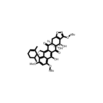 CCCCOc1noc2c1[C@@H](O)[C@@]1(O)C(=O)c3c(c4c5c(c(OC)cc(OCCCC)c5c3O)[C@]3(C4)C(C)=CCCC3C)C(=O)[C@H]1C2